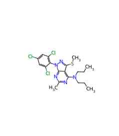 CCCN(CCC)c1nc(C)nc2c1c(SC)nn2-c1c(Cl)cc(Cl)cc1Cl